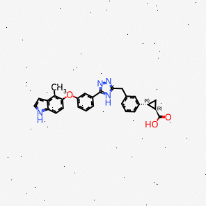 Cc1c(Oc2cccc(-c3nnc(Cc4cccc([C@@H]5C[C@H]5C(=O)O)c4)[nH]3)c2)ccc2[nH]ccc12